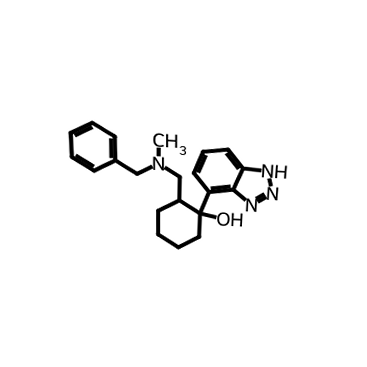 CN(Cc1ccccc1)CC1CCCCC1(O)c1cccc2[nH]nnc12